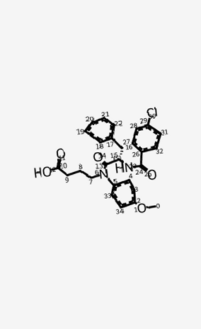 COc1ccc(N(CCCC(=O)O)C(=O)[C@H](Cc2ccccc2)NC(=O)c2ccc(Cl)cc2)cc1